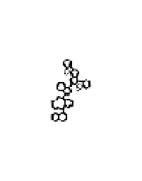 C1=C/C(c2cccc3ccccc23)=c2/cccc/c2=C(c2ccc(-c3cc4c(ccc5c6ccccc6oc54)c4c3sc3ccccc34)c3ccccc23)/C=C/CC/1